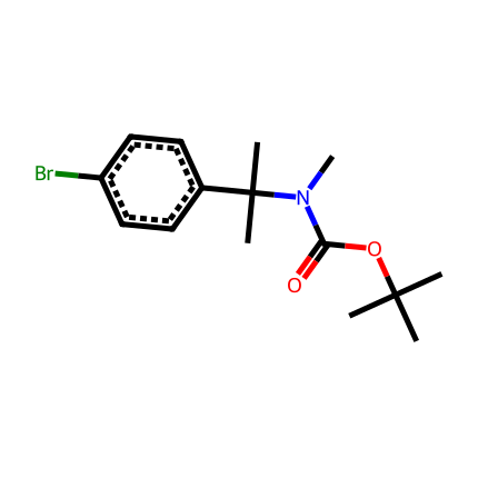 CN(C(=O)OC(C)(C)C)C(C)(C)c1ccc(Br)cc1